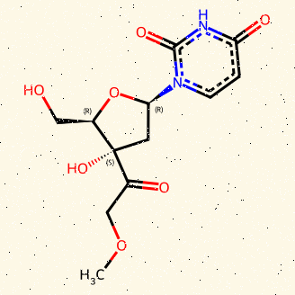 COCC(=O)[C@]1(O)C[C@H](n2ccc(=O)[nH]c2=O)O[C@@H]1CO